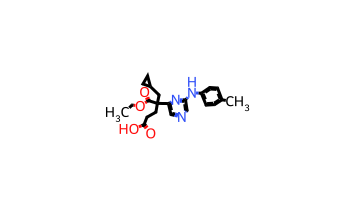 CCOC(=O)C(CCC(=O)O)(CC1CC1)c1cncc(Nc2ccc(C)cc2)n1